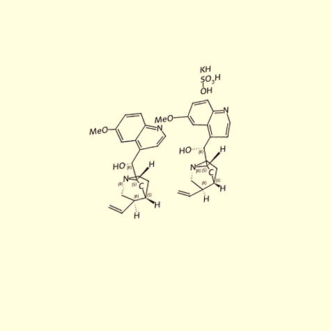 C=C[C@H]1C[N@]2CC[C@H]1C[C@H]2[C@H](O)c1ccnc2ccc(OC)cc12.C=C[C@H]1C[N@]2CC[C@H]1C[C@H]2[C@H](O)c1ccnc2ccc(OC)cc12.O=S(=O)(O)O.[KH]